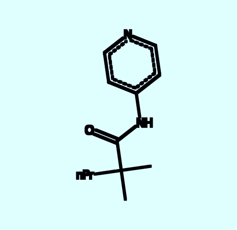 CCCC(C)(C)C(=O)Nc1ccncc1